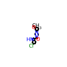 COc1cccc(N2CCN(C(=O)C3=CNC4C=C(Cl)C=CC34)CC2)c1